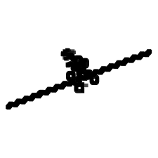 CCCCCCCCC=CCCCCCCCC(=O)OC(COC(=O)CCCCCCCCCCCCCCC)COP(=O)(OCC)OCC[N+](C)(C)C.[Cl-]